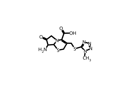 Cn1nnnc1SCC1=C(C(=O)O)N2CC(=O)C(N)C2SC1